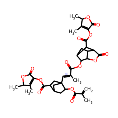 C=C(C)C(=O)OC1CC2CC1(/C=C(\C)C(=O)OC1C3CC4C1OC(=O)C4C3C(=O)OC1=C(C)C(C)OC1=O)CC2C(=O)OC1=C(C)C(C)OC1=O